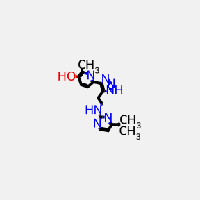 Cc1nc(-c2nn[nH]c2CCNc2nccc(C(C)C)n2)ccc1O